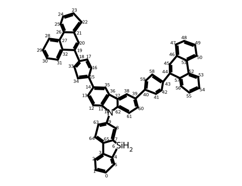 c1ccc2c(c1)[SiH2]c1cc(-n3c4ccc(-c5ccc(-c6cc7ccccc7c7ccccc67)cc5)cc4c4cc(-c5ccc(-c6cc7ccccc7c7ccccc67)cc5)ccc43)ccc1-2